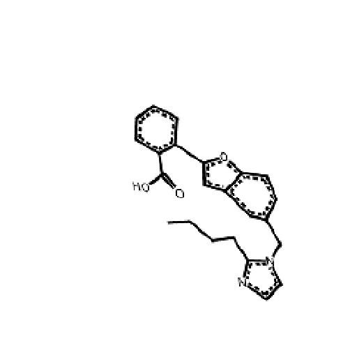 CCCCc1nccn1Cc1ccc2oc(-c3ccccc3C(=O)O)cc2c1